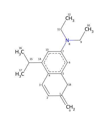 C=C1C=Cc2c(cc(N(CC)CC)cc2C(C)C)C1